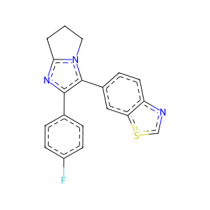 Fc1ccc(-c2nc3n(c2-c2ccc4ncsc4c2)CCC3)cc1